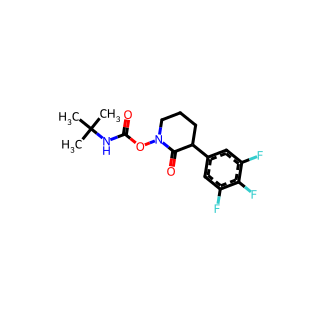 CC(C)(C)NC(=O)ON1CCCC(c2cc(F)c(F)c(F)c2)C1=O